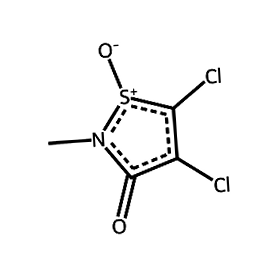 Cn1c(=O)c(Cl)c(Cl)[s+]1[O-]